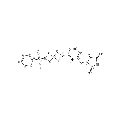 O=C1NC(=O)/C(=C/c2nccc(N3CC4(C3)CN(S(=O)(=O)c3ccccc3)C4)n2)S1